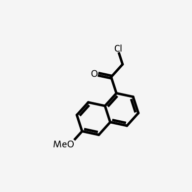 COc1ccc2c(C(=O)CCl)cccc2c1